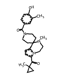 Cc1cc(C(=O)N2CCC3(CC2)c2ccc(C(=O)C4(C)CC4)n2CCN3C)ccc1O